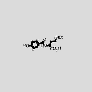 CCSCCC(NC(=O)c1ccc(O)cc1)C(=O)O